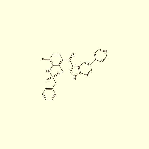 O=C(c1ccc(F)c(NS(=O)(=O)Cc2ccccc2)c1F)c1c[nH]c2ncc(-c3ccncc3)cc12